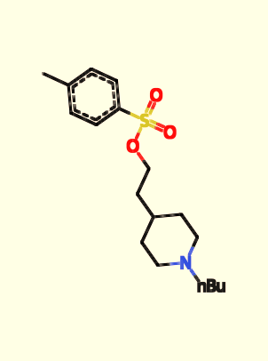 CCCCN1CCC(CCOS(=O)(=O)c2ccc(C)cc2)CC1